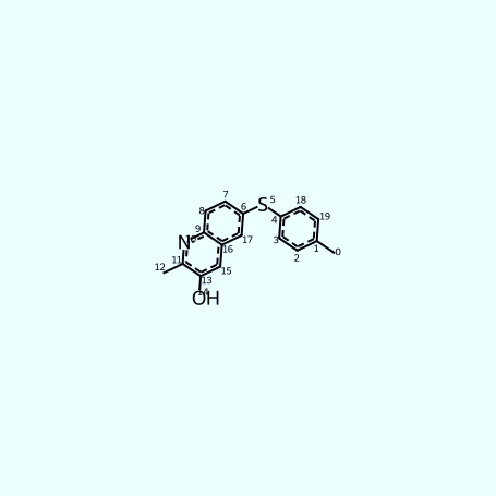 Cc1ccc(Sc2ccc3nc(C)c(O)cc3c2)cc1